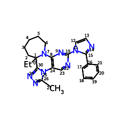 CCC12CCCCCN1c1nc(-n3ccnc3-c3ccccc3)ncc1-n1c(C)nnc12